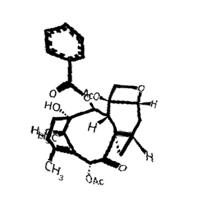 CC(=O)O[C@H]1C(=O)[C@]23C[C@H]2C[C@H]2OC[C@@]2(OC(C)=O)[C@H]3[C@H](OC(=O)c2ccccc2)[C@]2(O)CCC(C)=C1C2(C)C